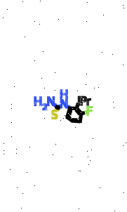 CC(C)c1c(F)cccc1NC(N)=S